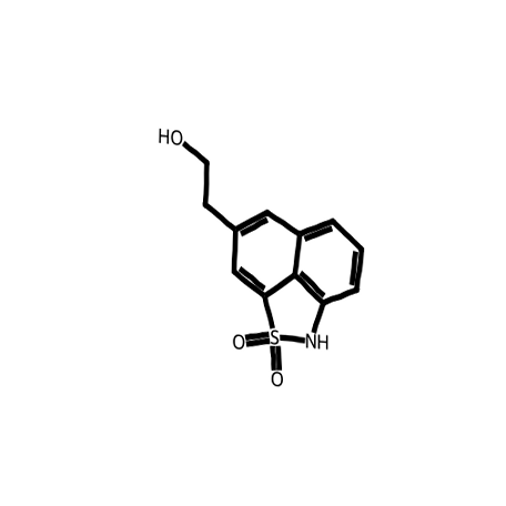 O=S1(=O)Nc2cccc3cc(CCO)cc1c23